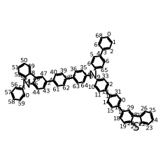 c1ccc(-c2ccc(N(c3ccc(-c4ccc(-c5ccc6sc7ccccc7c6c5)cc4)cc3)c3ccc(-c4ccc(-c5ccc6c(c5)c5ccccc5n6-c5ccccc5)cc4)cc3)cc2)cc1